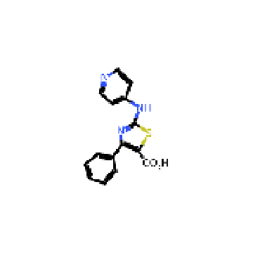 O=C(O)c1sc(Nc2ccncc2)nc1-c1ccccc1